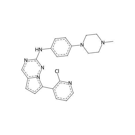 CN1CCN(c2ccc(Nc3ncc4ccc(-c5cccnc5Cl)n4n3)cc2)CC1